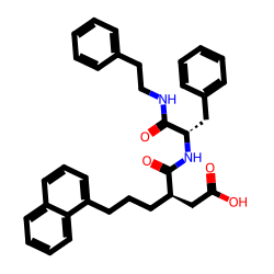 O=C(O)C[C@@H](CCCc1cccc2ccccc12)C(=O)N[C@@H](Cc1ccccc1)C(=O)NCCc1ccccc1